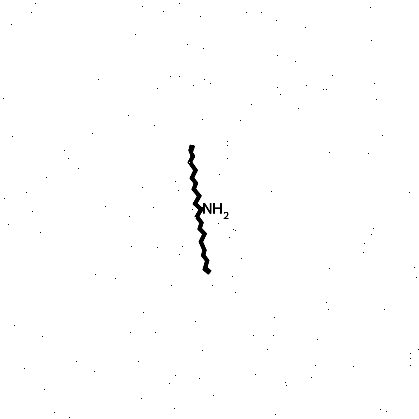 C=CCCCCCCCCC(N)CCCCCCCCC=C